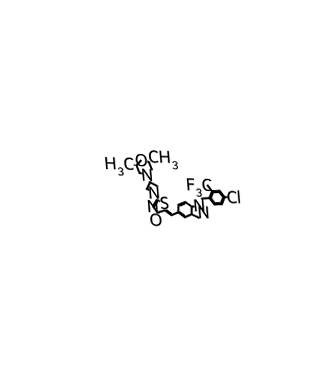 C[C@@H]1CN(C2CN(C3=NC(=O)/C(=C/C4=CC5C=NN(Cc6ccc(Cl)cc6C(F)(F)F)C5C=C4)S3)C2)C[C@H](C)O1